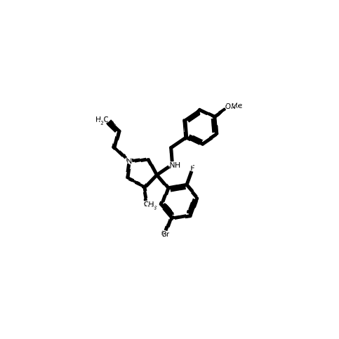 C=CCN1CC(C)C(NCc2ccc(OC)cc2)(c2cc(Br)ccc2F)C1